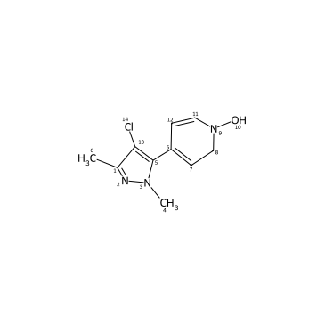 Cc1nn(C)c(C2=CCN(O)C=C2)c1Cl